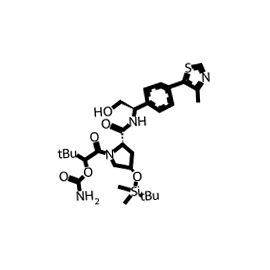 Cc1ncsc1-c1ccc([C@H](CO)NC(=O)[C@@H]2C[C@@H](O[Si](C)(C)C(C)(C)C)CN2C(=O)C(OC(N)=O)C(C)(C)C)cc1